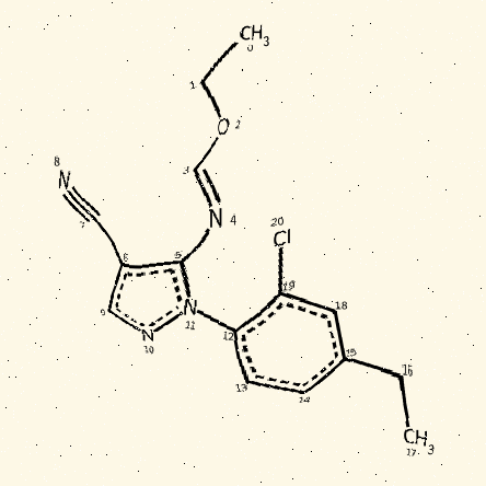 CCOC=Nc1c(C#N)cnn1-c1ccc(CC)cc1Cl